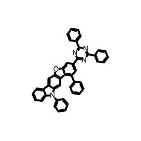 c1ccc(-c2nc(-c3ccccc3)nc(-c3cc(-c4ccccc4)c4c(c3)oc3cc5c6ccccc6n(-c6ccccc6)c5cc34)n2)cc1